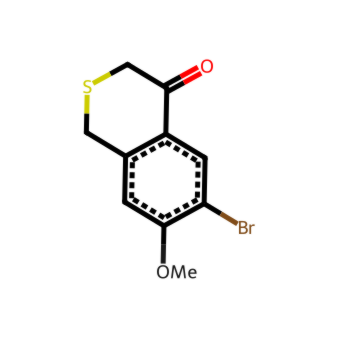 COc1cc2c(cc1Br)C(=O)CSC2